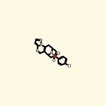 O=S(=O)(c1ccc(Cl)cc1)N1C2CCCC1c1cnc3ccnn3c1C2